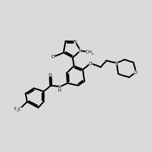 Cn1ncc(Cl)c1-c1cc(NC(=O)c2ccc(C(F)(F)F)cc2)ccc1OCCN1CCOCC1